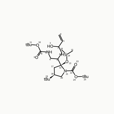 C=CC(O)CC(CNC(=O)OC(C)(C)C)[C@@]1(O[SiH](C)C)C[C@H](C(C)(C)C)CN1C(=O)OC(C)(C)C